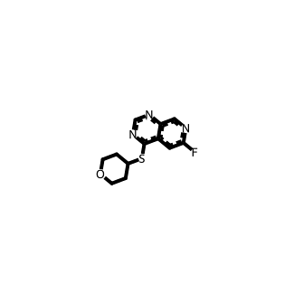 Fc1cc2c(SC3CCOCC3)ncnc2cn1